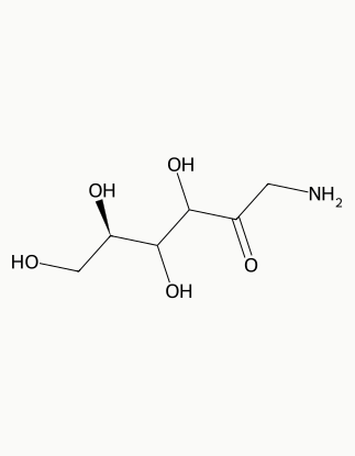 NCC(=O)C(O)C(O)[C@H](O)CO